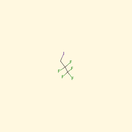 FC(F)(F)C(F)(F)CI